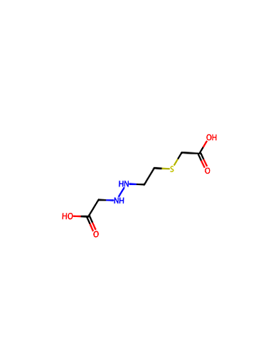 O=C(O)CNNCCSCC(=O)O